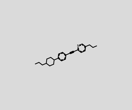 CCCc1ccc(C#Cc2ccc(C3CCC(CCC)CC3)cc2)nc1